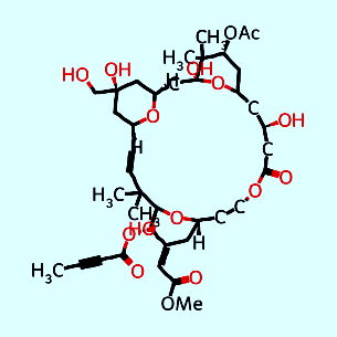 CC#CC(=O)O[C@H]1/C(=C/C(=O)OC)C[C@H]2CCOC(=O)C[C@H](O)CC3C[C@H](OC(C)=O)C(C)(C)[C@](O)(C[C@@H]4C[C@@](O)(CO)C[C@H](/C=C/C(C)(C)[C@]1(O)O2)O4)O3